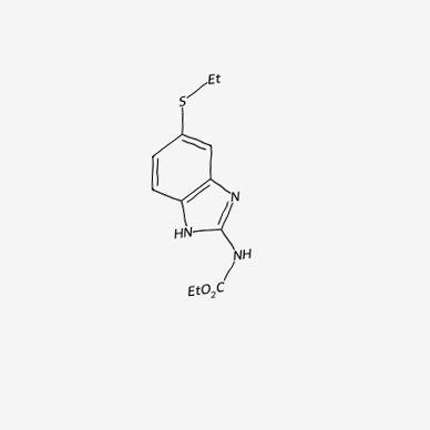 CCOC(=O)Nc1nc2cc(SCC)ccc2[nH]1